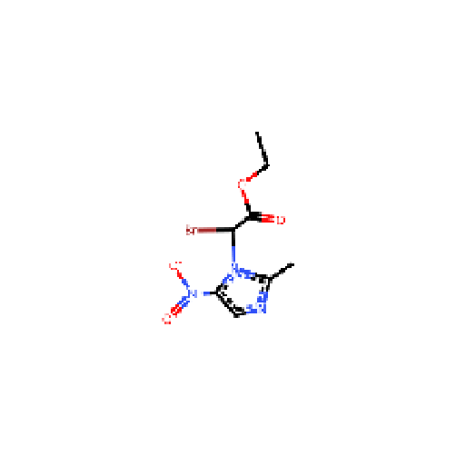 CCOC(=O)C(Br)n1c([N+](=O)[O-])cnc1C